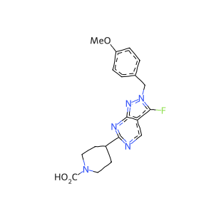 COc1ccc(Cn2nc3nc(C4CCN(C(=O)O)CC4)ncc3c2F)cc1